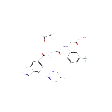 COC(=O)C[C@H](NC(=O)CNC(=O)c1cc(NC2=NCC(F)CN2)c2cn[nH]c2c1)c1cc(F)cc(C(F)(F)F)c1.O=C(O)C(F)(F)F